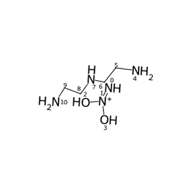 N=[N+](O)O.NCCNCCN